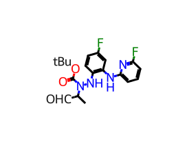 CC(C=O)N(Nc1ccc(F)cc1Nc1cccc(F)n1)C(=O)OC(C)(C)C